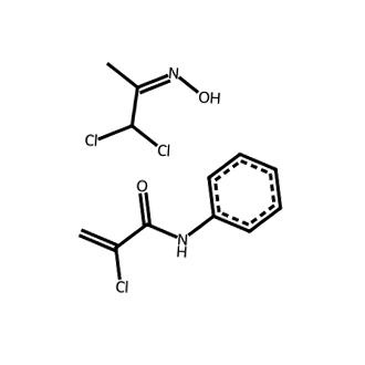 C=C(Cl)C(=O)Nc1ccccc1.CC(=NO)C(Cl)Cl